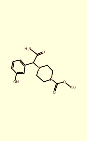 CC(C)(C)OC(=O)N1CCN(C(C(N)=O)c2cccc(O)c2)CC1